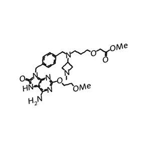 COCCOc1nc(N)c2[nH]c(=O)n(Cc3ccc(CN(CCCOCC(=O)OC)C4CN(C)C4)cc3)c2n1